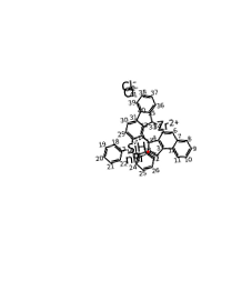 CCCC1=Cc2c(ccc3ccccc23)C1c1c([SiH](c2ccccc2)c2ccccc2)ccc2c1[CH]([Zr+2])c1ccccc1-2.[Cl-].[Cl-]